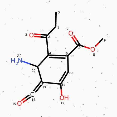 CCC(=O)C1=C(C(=O)OC)C=C(O)C(=C=O)C1N